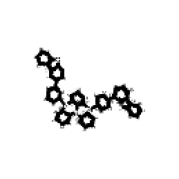 c1cc(-c2ccc3oc4ccccc4c3c2)cc(N2c3ccccc3B3c4ccccc4N(c4ccc(-c5cccc6c5oc5ccccc56)cc4)c4cccc2c43)c1